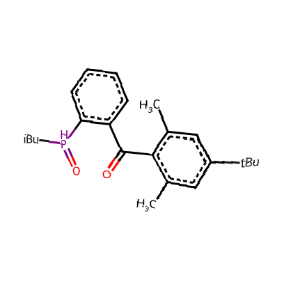 CCC(C)[PH](=O)c1ccccc1C(=O)c1c(C)cc(C(C)(C)C)cc1C